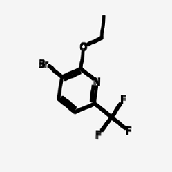 CCOc1nc(C(F)(F)F)ccc1Br